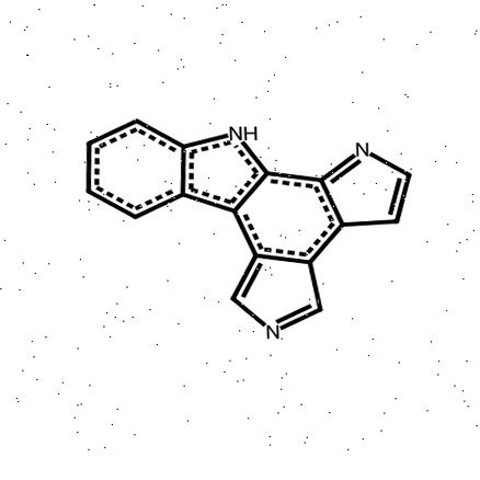 C1=Cc2c3c(c4c([nH]c5ccccc54)c2=N1)=CN=C3